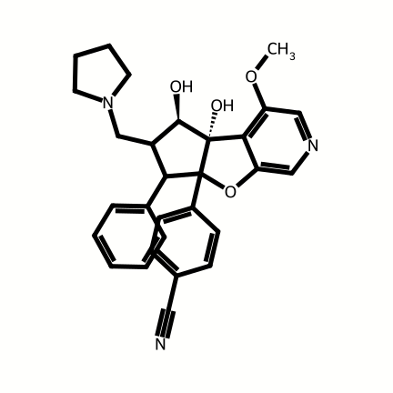 COc1cncc2c1[C@]1(O)[C@H](O)C(CN3CCCC3)C(c3ccccc3)C1(c1ccc(C#N)cc1)O2